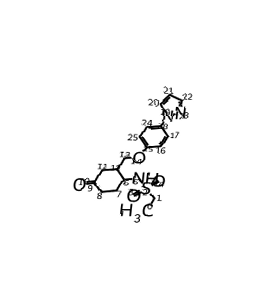 CCS(=O)(=O)NC1CCC(=O)CC1COc1ccc(-n2cccn2)cc1